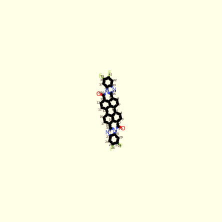 O=c1c2ccc3c4ccc5c6c(ccc(c7ccc(c2c37)c2nc3cc(F)c(F)cc3n12)c46)c(=O)n1c2cc(F)c(F)cc2nc51